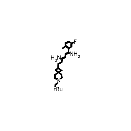 Cc1ccc(F)cc1/C(N)=C/C=C(\N)CCC1CC2(CCN(CCC(C)(C)C)CC2)C1